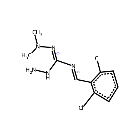 CN(C)/N=C(/N=C/c1c(Cl)cccc1Cl)NN